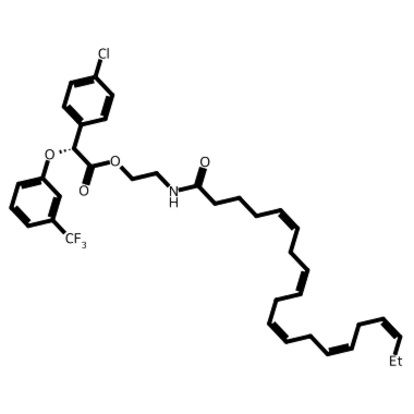 CC/C=C\C/C=C\C/C=C\C/C=C\C/C=C\CCCC(=O)NCCOC(=O)[C@H](Oc1cccc(C(F)(F)F)c1)c1ccc(Cl)cc1